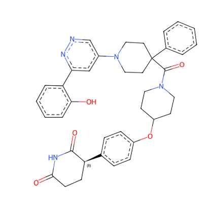 O=C1CC[C@H](c2ccc(OC3CCN(C(=O)C4(c5ccccc5)CCN(c5cnnc(-c6ccccc6O)c5)CC4)CC3)cc2)C(=O)N1